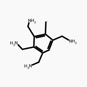 [CH2]c1c(CN)cc(CN)c(CN)c1CN